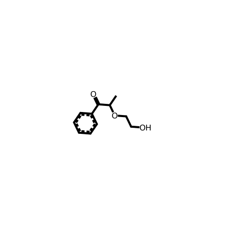 CC(OCCO)C(=O)c1ccccc1